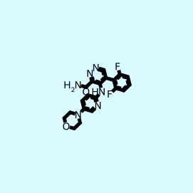 NC(=O)c1nncc(-c2c(F)cccc2F)c1Nc1ccc(N2CCOCC2)cn1